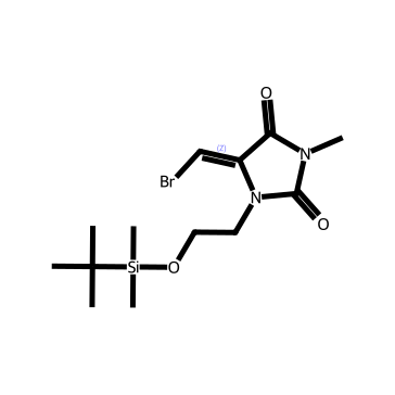 CN1C(=O)/C(=C/Br)N(CCO[Si](C)(C)C(C)(C)C)C1=O